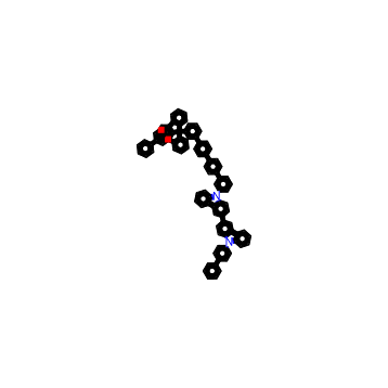 c1ccc(-c2ccc(-n3c4ccccc4c4cc(-c5ccc6c(c5)c5ccccc5n6-c5cccc(-c6ccc(-c7ccc(-c8cccc(C9(c%10ccccc%10-c%10cccc(-c%11ccccc%11)c%10)c%10ccccc%10-c%10ccccc%109)c8)cc7)cc6)c5)ccc43)cc2)cc1